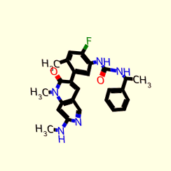 CNc1cc2c(cn1)cc(-c1cc(NC(=O)NC(C)c3ccccc3)c(F)cc1C)c(=O)n2C